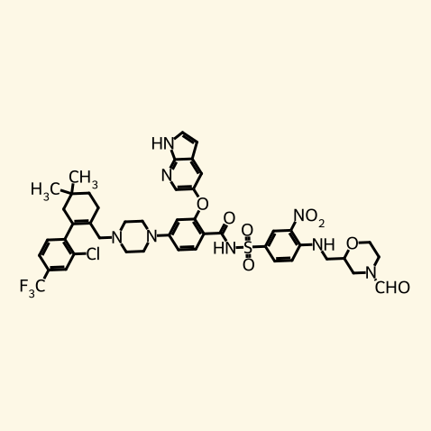 CC1(C)CCC(CN2CCN(c3ccc(C(=O)NS(=O)(=O)c4ccc(NCC5CN(C=O)CCO5)c([N+](=O)[O-])c4)c(Oc4cnc5[nH]ccc5c4)c3)CC2)=C(c2ccc(C(F)(F)F)cc2Cl)C1